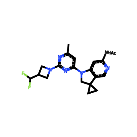 CC(=O)Nc1cc2c(cn1)C1(CC1)CN2c1cc(C)nc(N2CC(C(F)F)C2)n1